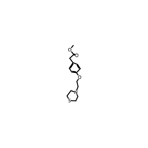 COC(=O)Cc1ccc(OCCN2CCSCC2)cc1